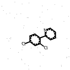 Clc1ccc(-c2c[c]ccn2)c(Cl)c1